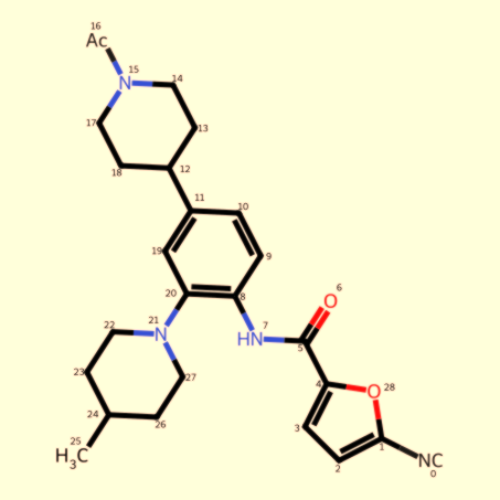 [C-]#[N+]c1ccc(C(=O)Nc2ccc(C3CCN(C(C)=O)CC3)cc2N2CCC(C)CC2)o1